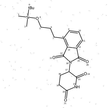 CC(C)(C)[Si](C)(C)OCCCc1cccc2c1C(=O)N(C1CCC(=O)NC1=O)C2=O